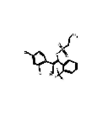 CCCS(=O)(=O)OC(=C(C#N)c1ccc(Cl)cc1Cl)c1ccccc1C(F)(F)F